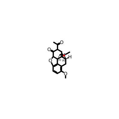 COc1ccc2c3c1C[C@@H]1[C@@H]4CC(C(C)=O)C(=O)C(O2)[C@]34CCN1C